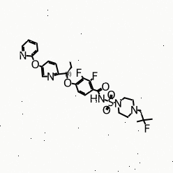 CC[C@@H](Oc1ccc(C(=O)NS(=O)(=O)N2CCN(CC(C)(C)F)CC2)c(F)c1F)c1ccc(Oc2ccccn2)cn1